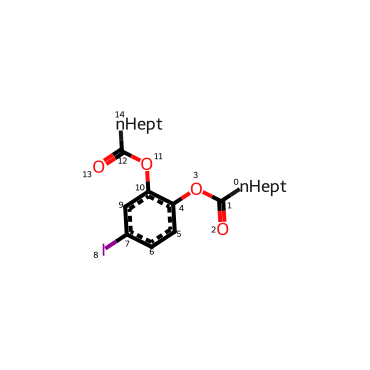 CCCCCCCC(=O)Oc1ccc(I)cc1OC(=O)CCCCCCC